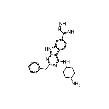 N=NC(=N)c1ccc2c(c1)[nH]c1nc(Cc3ccccc3)nc(N[C@H]3CC[C@H](N)CC3)c12